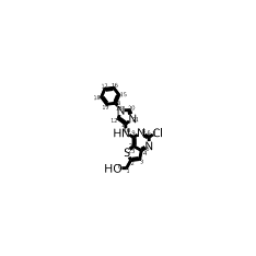 OCc1cc2nc(Cl)nc(Nc3cn(-c4ccccc4)cn3)c2s1